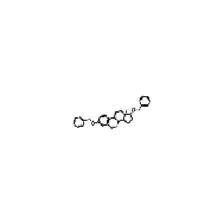 C[C@]12CCC3c4ccc(OCc5ccccc5)cc4CCC3C1CC[C@@H]2OCc1ccccc1